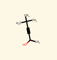 CC(O)C#CC(C)(C)C